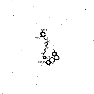 COc1ccc(CNS(=O)(=O)CCNCCC(=O)[C@@H]2CC[C@H]2CN2C[C@@]3(CCCc4cc(Cl)ccc43)COc3ccc(C(=O)O)cc32)c(OC)c1